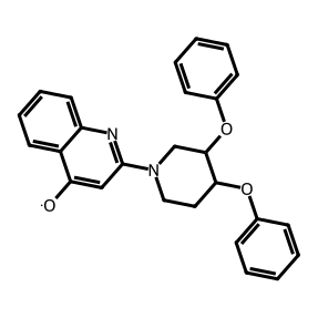 [O]c1cc(N2CCC(Oc3ccccc3)C(Oc3ccccc3)C2)nc2ccccc12